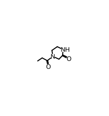 CCC(=O)N1CCNC(=O)C1